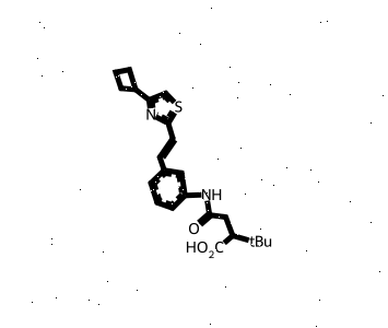 CC(C)(C)C(CC(=O)Nc1cccc(C=Cc2nc(C3CCC3)cs2)c1)C(=O)O